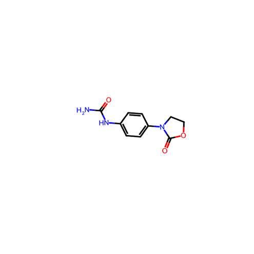 NC(=O)Nc1ccc(N2CCOC2=O)cc1